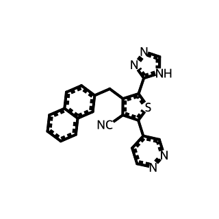 N#Cc1c(-c2ccnnc2)sc(-c2nnc[nH]2)c1Cc1ccc2ccccc2c1